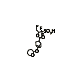 O=C(OC(CF)C(F)(F)S(=O)(=O)O)C1CC2CC1CC2OC1CCCCO1